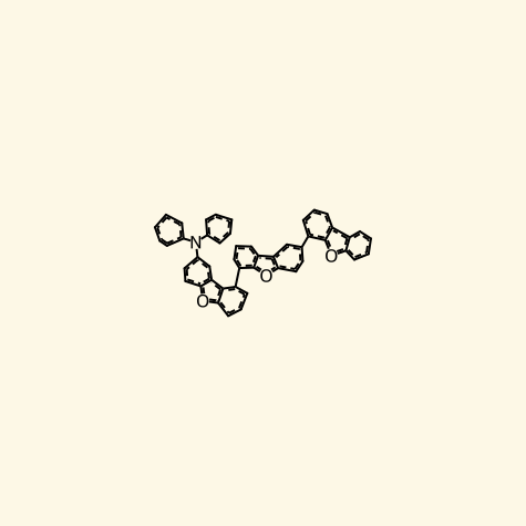 c1ccc(N(c2ccccc2)c2ccc3oc4cccc(-c5cccc6c5oc5ccc(-c7cccc8c7oc7ccccc78)cc56)c4c3c2)cc1